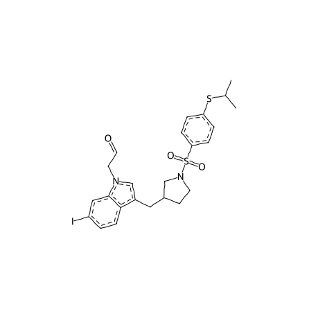 CC(C)Sc1ccc(S(=O)(=O)N2CCC(Cc3cn(CC=O)c4cc(I)ccc34)C2)cc1